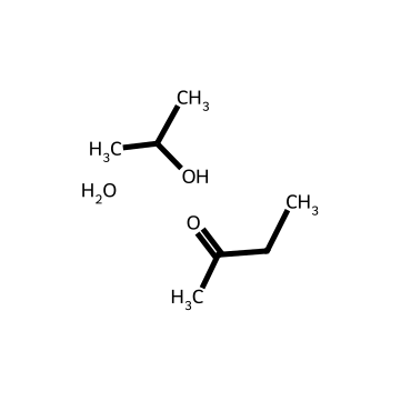 CC(C)O.CCC(C)=O.O